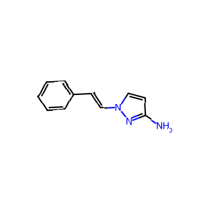 Nc1ccn(C=Cc2ccccc2)n1